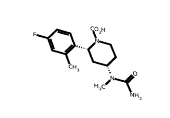 Cc1cc(F)ccc1[C@H]1C[C@@H](N(C)C(N)=O)CCN1C(=O)O